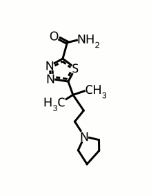 CC(C)(CCN1CCCC1)c1nnc(C(N)=O)s1